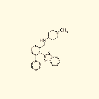 CN1CCC(NCc2cccc(-c3ccccc3)c2-c2nc3ccccc3s2)CC1